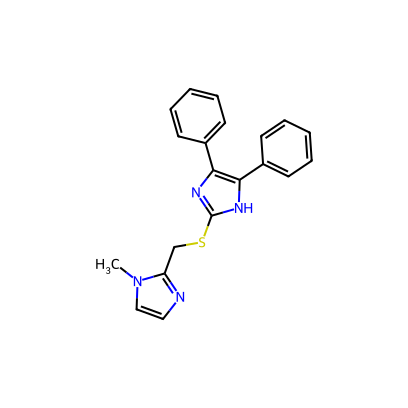 Cn1ccnc1CSc1nc(-c2ccccc2)c(-c2ccccc2)[nH]1